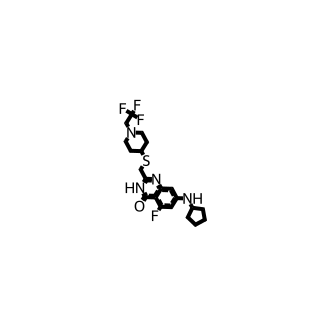 O=c1[nH]c(CSC2CCN(CC(F)(F)F)CC2)nc2cc(NC3CCCC3)cc(F)c12